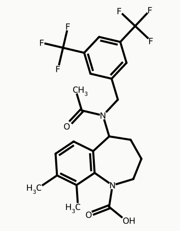 CC(=O)N(Cc1cc(C(F)(F)F)cc(C(F)(F)F)c1)C1CCCN(C(=O)O)c2c1ccc(C)c2C